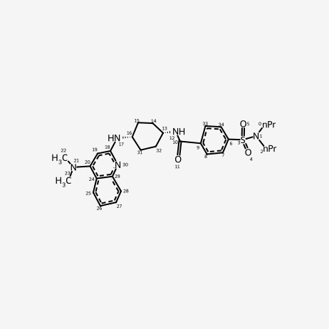 CCCN(CCC)S(=O)(=O)c1ccc(C(=O)N[C@H]2CC[C@@H](Nc3cc(N(C)C)c4ccccc4n3)CC2)cc1